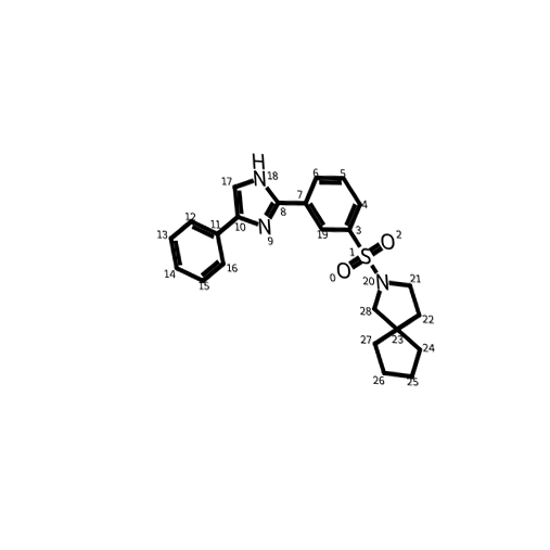 O=S(=O)(c1cccc(-c2nc(-c3ccccc3)c[nH]2)c1)N1CCC2(CCCC2)C1